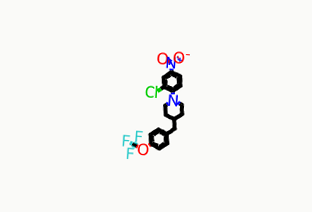 O=[N+]([O-])c1ccc(N2CCC(Cc3ccc(OC(F)(F)F)cc3)CC2)c(Cl)c1